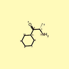 C[C@H](N)C(=O)C1CCCCC1